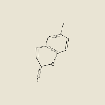 Cc1ccc2oc(=S)ccc2c1